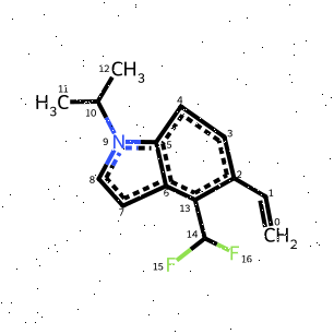 C=Cc1ccc2c(ccn2C(C)C)c1C(F)F